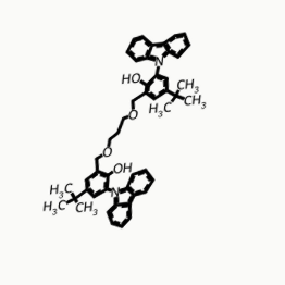 CC(C)(C)c1cc(COCCCOCc2cc(C(C)(C)C)cc(-n3c4ccccc4c4ccccc43)c2O)c(O)c(-n2c3ccccc3c3ccccc32)c1